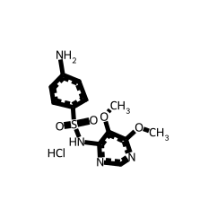 COc1ncnc(NS(=O)(=O)c2ccc(N)cc2)c1OC.Cl